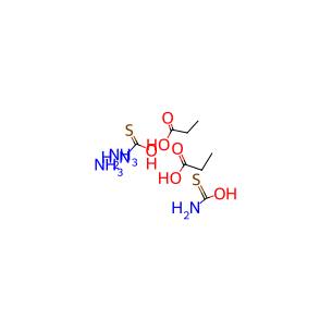 CCC(=O)O.CCC(=O)O.N.N.NC(O)=S.NC(O)=S